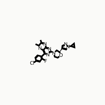 Cc1nc2nc(N3CCO[C@H](c4cnn(C5CC5)c4)C3)nc(-c3ccc(Cl)cc3F)c2nc1C